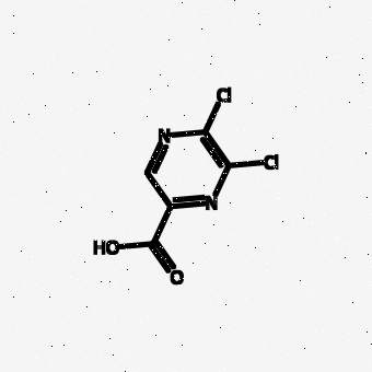 O=C(O)c1cnc(Cl)c(Cl)n1